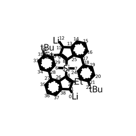 [Li][CH]1C(CC)=C([Si](C)(C)C2=C(CC)[CH]([Li])c3cccc(-c4ccc(C(C)(C)C)cc4)c32)c2c(-c3ccc(C(C)(C)C)cc3)cccc21